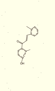 Cc1ccccc1/C=C/C(=O)c1ccc(O)cc1C